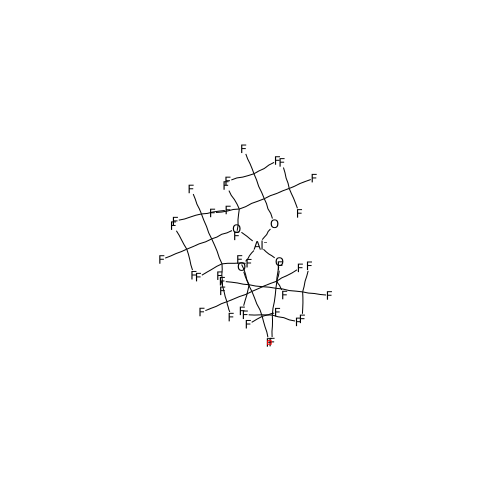 FC(F)(F)C([O][Al-]([O]C(C(F)(F)F)(C(F)(F)F)C(F)(F)F)([O]C(C(F)(F)F)(C(F)(F)F)C(F)(F)F)[O]C(C(F)(F)F)(C(F)(F)F)C(F)(F)F)(C(F)(F)F)C(F)(F)F